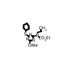 C=CCN(C(=O)OCC)c1nc(OC)nc(Sc2ccccc2)n1